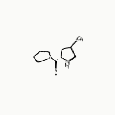 O=C([C@@H]1CC(O)CN1)N1CCCC1